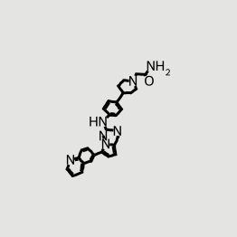 NC(=O)CN1CCC(c2ccc(Nc3ncc4ccc(-c5ccc6ncccc6c5)n4n3)cc2)CC1